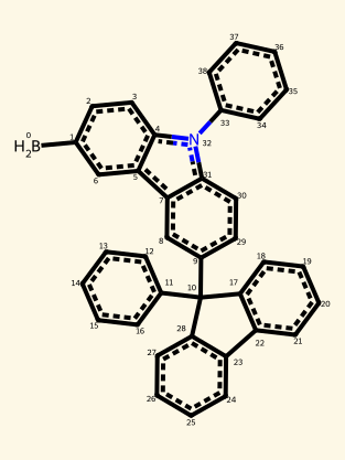 Bc1ccc2c(c1)c1cc(C3(c4ccccc4)c4ccccc4-c4ccccc43)ccc1n2-c1ccccc1